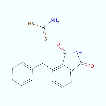 NC(=S)S.O=C1NC(=O)c2c(Cc3ccccc3)cccc21